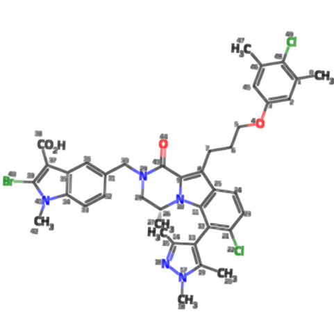 Cc1cc(OCCCc2c3n(c4c(-c5c(C)nn(C)c5C)c(Cl)ccc24)[C@H](C)CN(Cc2ccc4c(c2)c(C(=O)O)c(Br)n4C)C3=O)cc(C)c1Cl